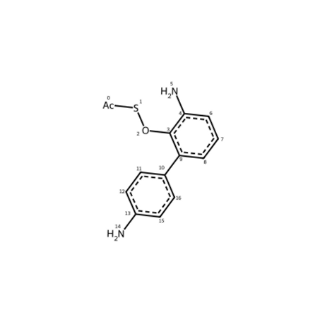 CC(=O)SOc1c(N)cccc1-c1ccc(N)cc1